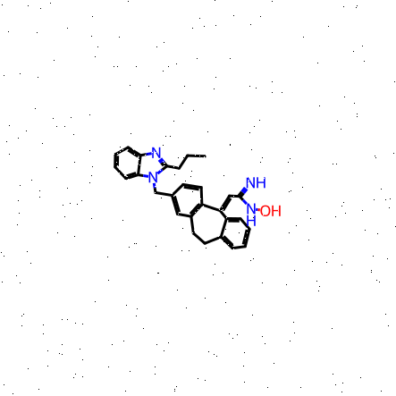 CCCc1nc2ccccc2n1Cc1ccc2c(c1)CCc1ccccc1/C2=C\C(=N)NO